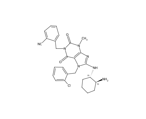 Cn1c(=O)n(Cc2ccccc2C#N)c(=O)c2c1nc(N[C@H]1CCCC[C@@H]1N)n2Cc1ccccc1Cl